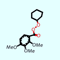 COc1ccc(C(=O)OO[C]2CCCCC2)c(OC)c1OC